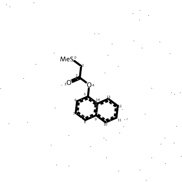 CSCC(=O)Oc1cccc2ccccc12